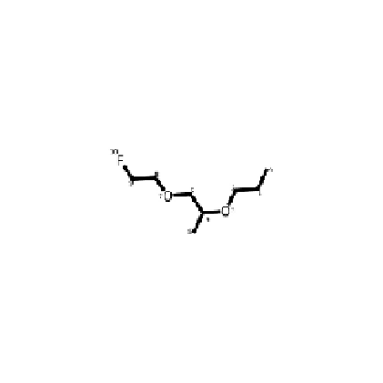 CCCOC(C)COCCF